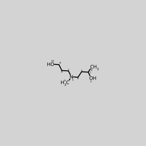 CC(O)CCN(C)CCCO